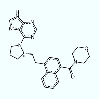 O=C(c1ccc(CC[C@@H]2CCCN2c2ncnc3[nH]cnc23)c2ccccc12)N1CCOCC1